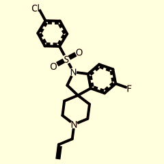 C=CCN1CCC2(CC1)CN(S(=O)(=O)c1ccc(Cl)cc1)c1ccc(F)cc12